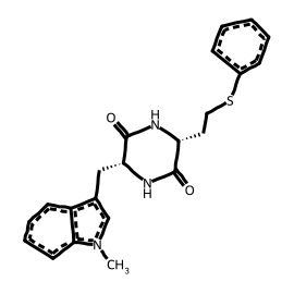 Cn1cc(C[C@H]2NC(=O)[C@@H](CCSc3ccccc3)NC2=O)c2ccccc21